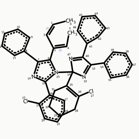 C/C=C\C(=C/C)c1c(-c2ccccc2)nc(-c2ccccc2Cl)n1C1(C2=C(Cl)CCCC2)N=C(c2ccccc2)C(c2ccccc2)=N1